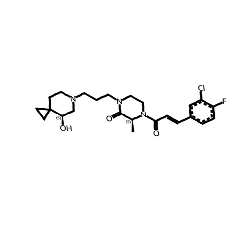 C[C@H]1C(=O)N(CCCN2CCC3(CC3)[C@H](O)C2)CCN1C(=O)C=Cc1ccc(F)c(Cl)c1